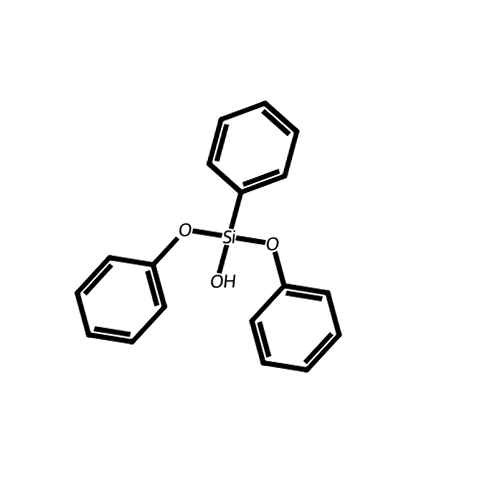 O[Si](Oc1ccccc1)(Oc1ccccc1)c1ccccc1